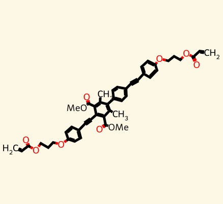 C=CC(=O)OCCCOc1ccc(C#Cc2ccc(-c3c(C)c(C(=O)OC)c(C#Cc4ccc(OCCCOC(=O)C=C)cc4)c(C(=O)OC)c3C)cc2)cc1